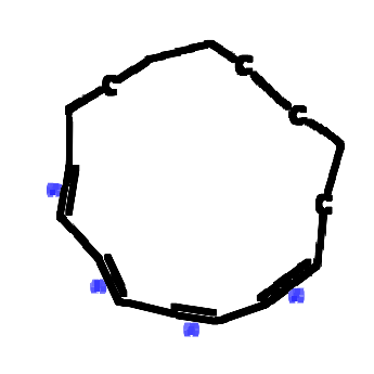 C1=C\C=C\C=C/CCCCCCCC\C=C/1